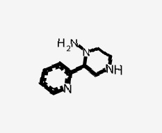 NN1CCNCC1c1ccccn1